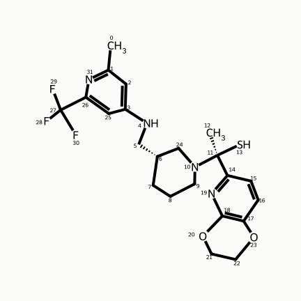 Cc1cc(NC[C@H]2CCCN([C@@](C)(S)c3ccc4c(n3)OCCO4)C2)cc(C(F)(F)F)n1